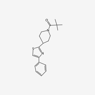 CC(C)(C)C(=O)N1CCC(c2nc(-c3ccccc3)cs2)CC1